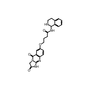 O=C1Cn2c(nc3ccc(OCCCC(=O)NC4NCCc5ccccc54)cc3c2=O)N1